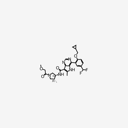 COCC(=O)N1C[C@@H](C)[C@H](NC(=O)c2c(C)[nH]c3c(-c4cc(C(F)F)ccc4OCC4CC4)ncnc23)C1